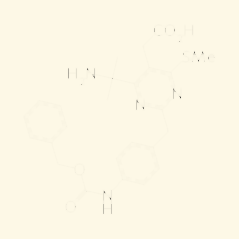 CSc1nc(Cc2ccc(NC(=O)OCc3ccccc3)cc2)nc(C(C)(C)N)c1CC(=O)O